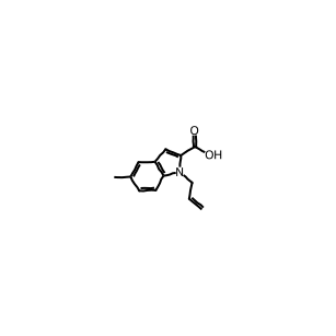 C=CCn1c(C(=O)O)cc2cc(C)ccc21